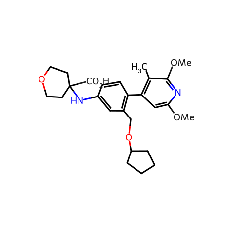 COc1cc(-c2ccc(NC3(C(=O)O)CCOCC3)cc2COC2CCCC2)c(C)c(OC)n1